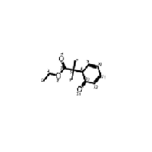 CCOC(=O)C(C)(C)C1C=CC=CC1=O